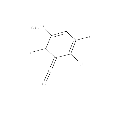 COC1=CC(Cl)=C(Cl)C(=C=O)C1Cl